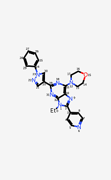 CCn1c(-c2ccncc2)nc2c(N3CCOCC3)nc(-c3cnn(-c4ccccc4)c3)nc21